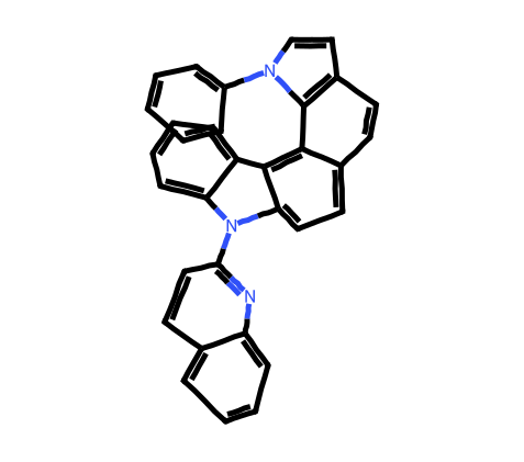 c1ccc(-n2ccc3ccc4ccc5c(c6ccccc6n5-c5ccc6ccccc6n5)c4c32)cc1